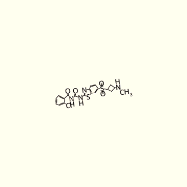 CNC1CC(S(=O)(=O)c2ccc3nc(NC(=O)NC(=O)c4ccccc4Cl)sc3c2)C1